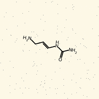 NCC=CNC(N)=O